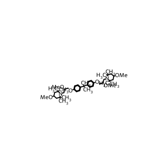 COC(COc1ccc(C(C)(C)c2ccc(OCC(CN3C(C)(C)CC(OC)CC3(C)C)OC)cc2)cc1)CN1C(C)(C)CC(OC)CC1(C)C